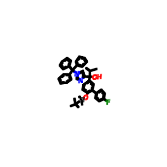 CC(C)C(O)(c1ccc(O[Si](C)(C)C(C)(C)C)c(-c2ccc(F)cc2)c1)c1cn(C(c2ccccc2)(c2ccccc2)c2ccccc2)cn1